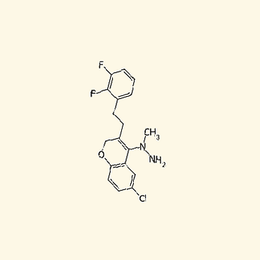 CN(N)C1=C(CCc2cccc(F)c2F)COc2ccc(Cl)cc21